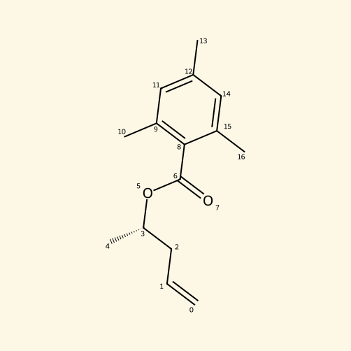 C=CC[C@H](C)OC(=O)c1c(C)cc(C)cc1C